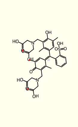 CC1=C/C(=C(/c2ccccc2S(=O)(=O)O)c2cc(C)c(O)c(CN(CC(=O)O)CC(=O)O)c2C)C(C)=C(CN(CC(=O)O)CC(=O)O)C1=O